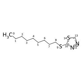 CCCCCCCCCSc1nncs1